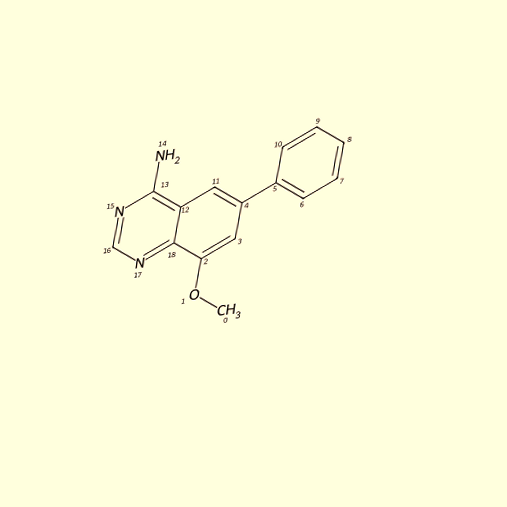 COc1cc(-c2ccccc2)cc2c(N)ncnc12